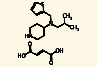 CC(C)CN(Cc1cccs1)C1CCNCC1.O=C(O)C=CC(=O)O